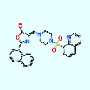 O=C1OC(c2cccc3ccccc23)=NC1=CN1CCN(S(=O)(=O)c2cccc3cccnc23)CC1